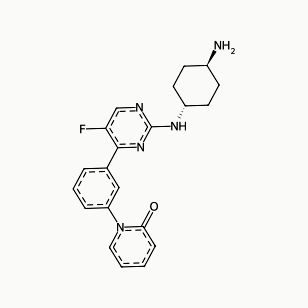 N[C@H]1CC[C@H](Nc2ncc(F)c(-c3cccc(-n4ccccc4=O)c3)n2)CC1